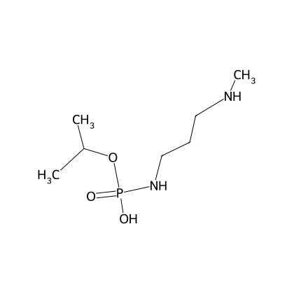 CNCCCNP(=O)(O)OC(C)C